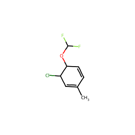 CC1=CC(Cl)C(OC(F)F)C=C1